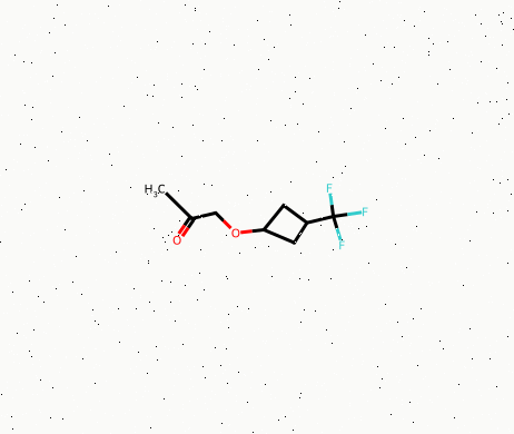 CC(=O)COC1CC(C(F)(F)F)C1